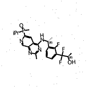 Cc1nc(N[C@H](C)c2cccc(C(F)(F)[C@@H](C)O)c2F)c2cc(P(C)(=O)C(C)C)ncc2n1